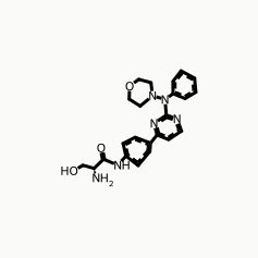 N[C@H](CO)C(=O)Nc1ccc(-c2ccnc(N(c3ccccc3)N3CCOCC3)n2)cc1